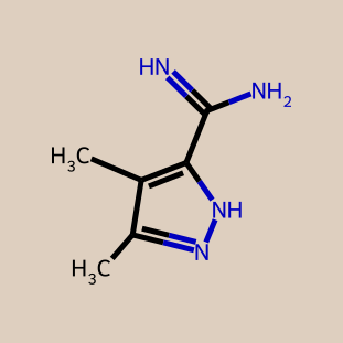 Cc1n[nH]c(C(=N)N)c1C